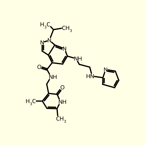 Cc1cc(C)c(CNC(=O)c2cc(NCCNc3ccccn3)nc3c2cnn3C(C)C)c(=O)[nH]1